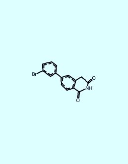 O=C1Cc2cc(-c3cccc(Br)c3)ccc2C(=O)N1